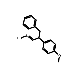 COc1ccc(C(C=NO)Cc2ccccc2)cc1